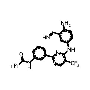 CCCC(=O)Nc1cccc(-c2ncc(C(F)(F)F)c(Nc3ccc(N)c(C=N)c3)n2)c1